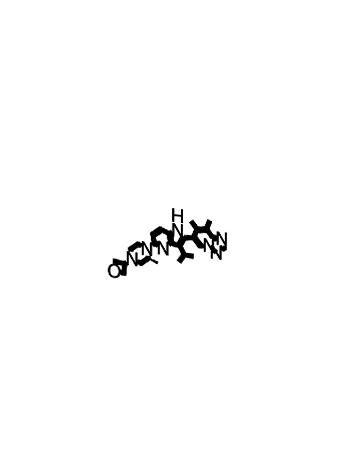 Cc1c(-c2[nH]c3ccc(N4CCN(C5COC5)C[C@@H]4C)nc3c2C(C)C)cn2ncnc2c1C